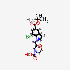 CC(C)(C)OC(=O)c1cc(Br)c2c(ccn2CC2CN(C(=O)O)CCO2)c1